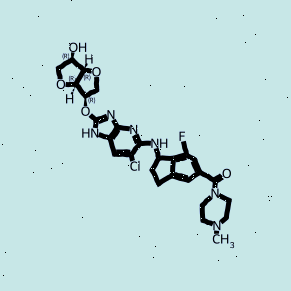 CN1CCN(C(=O)c2cc(F)c3c(c2)CCC3Nc2nc3nc(O[C@@H]4CO[C@H]5[C@@H]4OC[C@H]5O)[nH]c3cc2Cl)CC1